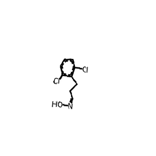 O/N=C\CCc1c(Cl)cccc1Cl